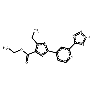 CCOC(=O)c1sc(-c2ccnc(-c3nn[nH]n3)c2)nc1CC